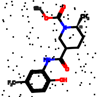 C[C@@H]1CCC(C(=O)Nc2cc(C(F)(F)F)ccc2O)CN1C(=O)OC(C)(C)C